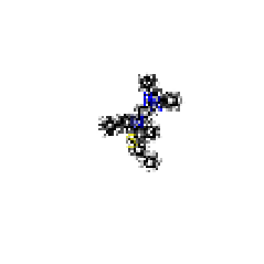 c1ccc(-c2ccc3sc4c(c3c2)c2ccccc2c2c4c3cc(-c4ccccc4)ccc3n2-c2ccc(-c3nc(-c4ccccc4)cc(-c4ccccc4)n3)cc2)cc1